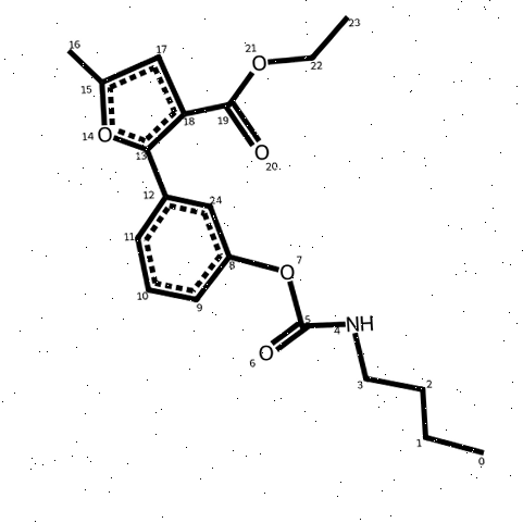 CCCCNC(=O)Oc1cccc(-c2oc(C)cc2C(=O)OCC)c1